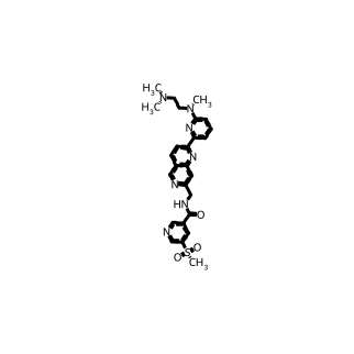 CN(C)CCN(C)c1cccc(-c2ccc3cnc(CNC(=O)c4cncc(S(C)(=O)=O)c4)cc3n2)n1